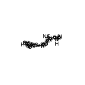 N#Cc1cc(-c2ccc3c(c2)[nH]c2ccncc23)cnc1OC1CC(Oc2ccc(C#CCOc3ccc4c(c3)CN([C@@H]3CCC(=O)NC3=O)C4=O)nc2)C1